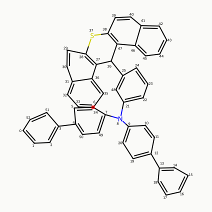 c1ccc(-c2ccc(N(c3ccc(-c4ccccc4)cc3)c3cccc(C4c5c(ccc6ccccc56)Sc5ccc6ccccc6c54)c3)cc2)cc1